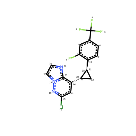 Fc1cc(C(F)(F)F)ccc1[C@H]1C[C@@H]1c1cc(Cl)nn2ccnc12